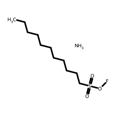 CCCCCCCCCCCS(=O)(=O)OF.N